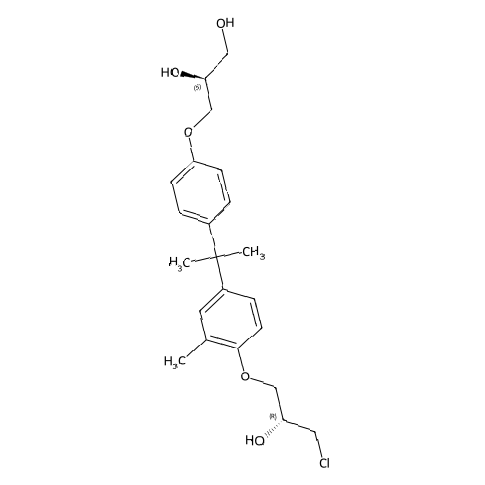 Cc1cc(C(C)(C)c2ccc(OC[C@@H](O)CO)cc2)ccc1OC[C@@H](O)CCl